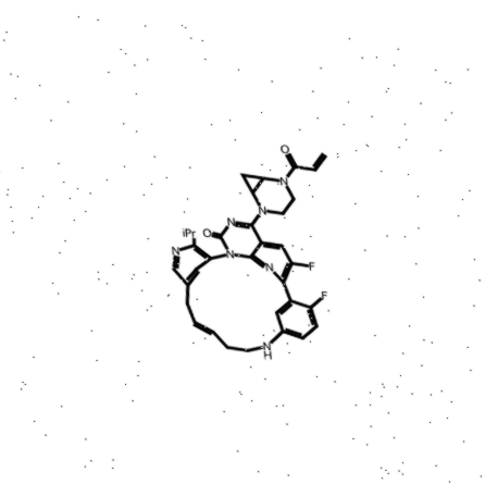 C=CC(=O)N1CCN(c2nc(=O)n3c4nc(c(F)cc24)-c2cc(ccc2F)NCC/C=C/Cc2cnc(C(C)C)c-3c2)C2CC21